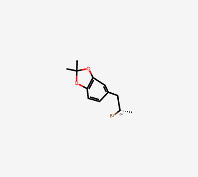 C[C@H](Br)Cc1ccc2c(c1)OC(C)(C)O2